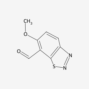 COc1ccc2nnsc2c1C=O